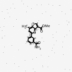 COC(=O)c1csc2c(C)cc(-c3cccc(C(N)=O)c3)nc12